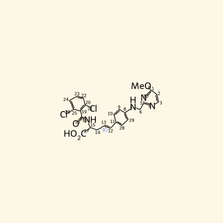 COc1ccnc(CNc2ccc(/C=C/CC(NC(=O)c3c(Cl)cccc3Cl)C(=O)O)cc2)n1